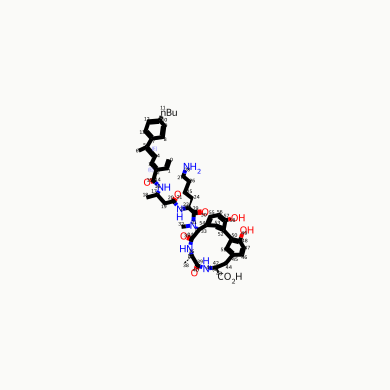 C=C/C(=C\C=C(/C)c1ccc(CCCC)cc1)C(=O)NC(C)CC(=O)N[C@@H](CCCCN)C(=O)N(C)[C@@H]1C(=O)N[C@@H](C)C(=O)N[C@H](C(=O)O)Cc2ccc(O)c(c2)-c2cc1ccc2O